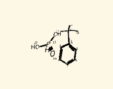 CC(C)(C)c1ccccc1.O=[PH](O)O